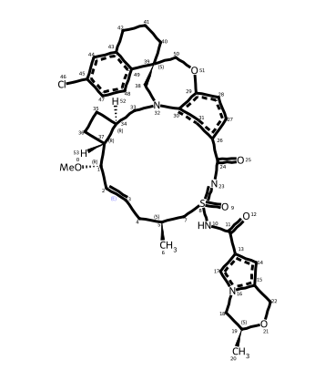 CO[C@H]1/C=C/C[C@H](C)CS(=O)(NC(=O)c2cc3n(c2)C[C@H](C)OC3)=NC(=O)c2ccc3c(c2)N(C[C@@H]2CC[C@H]21)C[C@@]1(CCCc2cc(Cl)ccc21)CO3